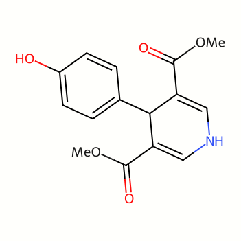 COC(=O)C1=CNC=C(C(=O)OC)C1c1ccc(O)cc1